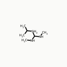 CNC(NC)[SiH2]C(C)C